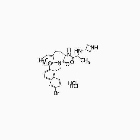 COc1ccc2cc(Br)ccc2c1CN1C(=O)C(NC(=O)C(C)NC2CNC2)CCc2ccccc21.Cl.Cl